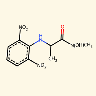 CC(Nc1c([N+](=O)[O-])cccc1[N+](=O)[O-])C(=O)N(C)O